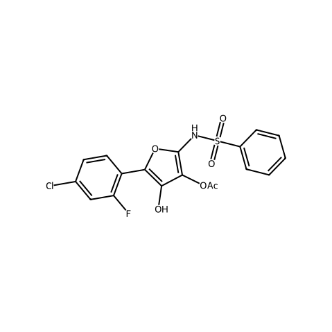 CC(=O)Oc1c(NS(=O)(=O)c2ccccc2)oc(-c2ccc(Cl)cc2F)c1O